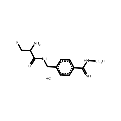 Cl.N=C(NC(=O)O)c1ccc(CNC(=O)C(N)CF)cc1